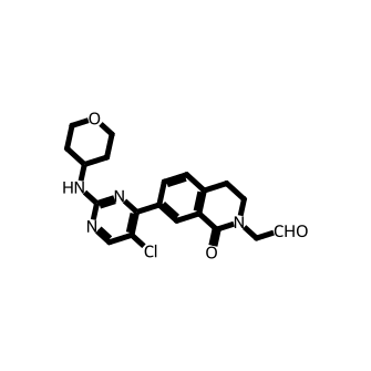 O=CCN1CCc2ccc(-c3nc(NC4CCOCC4)ncc3Cl)cc2C1=O